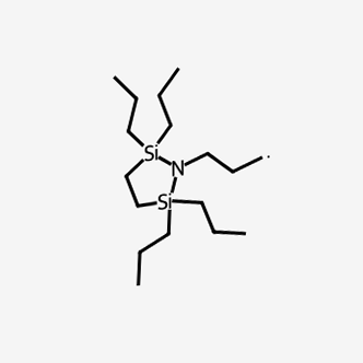 [CH2]CCN1[Si](CCC)(CCC)CC[Si]1(CCC)CCC